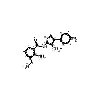 NCc1cccc(C(=O)Nc2scc(-c3ccc(Cl)cc3)c2C(=O)O)c1N